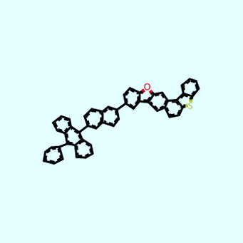 c1ccc(-c2c3ccccc3c(-c3ccc4cc(-c5ccc6oc7cc8c(ccc9sc%10ccccc%10c98)cc7c6c5)ccc4c3)c3ccccc23)cc1